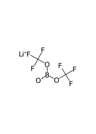 [Li+].[O-]B(OC(F)(F)F)OC(F)(F)F